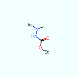 CCOC(=O)NN(C)C(C)=O